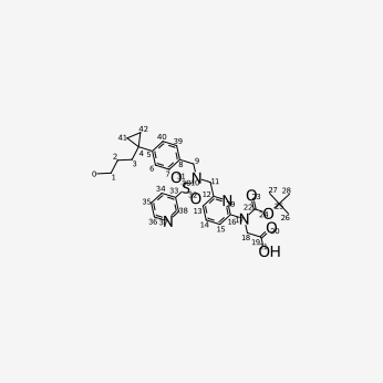 CCCCC1(c2ccc(CN(Cc3cccc(N(CC(=O)O)C(=O)OC(C)(C)C)n3)S(=O)(=O)c3cccnc3)cc2)CC1